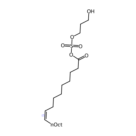 CCCCCCCC/C=C\CCCCCCCC(=O)OS(=O)(=O)OCCCO